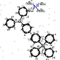 CCCC[N+](CCCC)(CCCC)CCCC.c1ccc(B(c2ccccc2)c2ccccc2)cc1.c1ccc([B-](c2ccccc2)(c2ccccc2)c2ccccc2)cc1